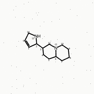 C1=CC(C2CCC3CCCCN3C2)NC1